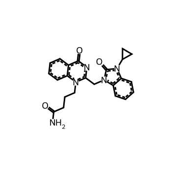 NC(=O)CCCn1c(Cn2c(=O)n(C3CC3)c3ccccc32)nc(=O)c2ccccc21